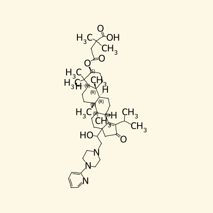 CC(C)C1=C2[C@H]3CC[C@@H]4[C@@]5(C)CC[C@H](OC(=O)CC(C)(C)C(=O)O)C(C)(C)[C@@H]5CC[C@@]4(C)[C@]3(C)CCC2(C(O)CN2CCN(c3ccccn3)CC2)CC1=O